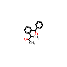 CC(=O)C(C)c1ccccc1C(=O)c1ccccc1